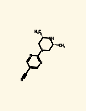 C[C@@H]1CN(c2ncc(C#N)cn2)C[C@H](C)N1